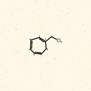 ClCC1=CC=CC=CC1